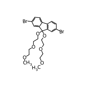 COCCOCCOC1(OCCOCCOC)c2cc(Br)ccc2-c2ccc(Br)cc21